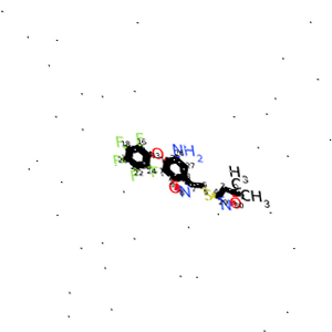 CC1(C)CC(SCc2noc3cc(Oc4c(F)c(F)c(F)c(F)c4F)c(N)cc23)=NO1